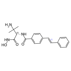 CC(C)(N)[C@H](NC(=O)c1ccc(/C=C/c2ccccc2)cc1)C(=O)NO